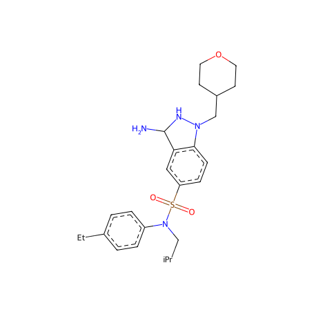 CCc1ccc(N(CC(C)C)S(=O)(=O)c2ccc3c(c2)C(N)NN3CC2CCOCC2)cc1